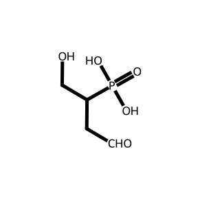 O=CCC(CO)P(=O)(O)O